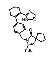 CCCCC1=NC2(CCCC2)C(=O)N1Cc1ccc(C2=C(c3nnn[nH]3)C=CCC2)cc1